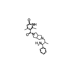 Cc1cc(=O)[nH]c(C)c1C(=O)N1CC2CN(CC(C)[C@H](N)c3ccccc3)CC2C1